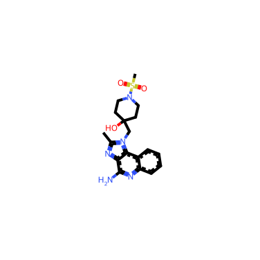 Cc1nc2c(N)nc3ccccc3c2n1CC1(O)CCN(S(C)(=O)=O)CC1